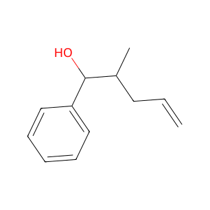 C=CCC(C)C(O)c1ccccc1